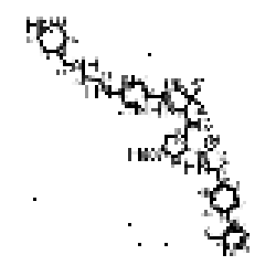 Cc1ncsc1-c1ccc([C@H](C)NC(=O)[C@@H]2C[C@@H](O)CN2C(=O)[C@@H](NC(=O)c2cnc(NCCNCC3CCNCC3)cn2)C(C)(C)C)cc1